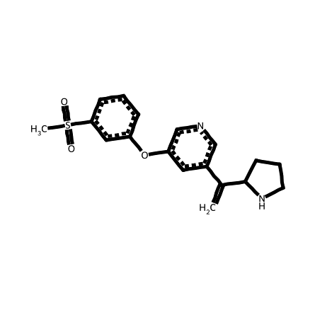 C=C(c1cncc(Oc2cccc(S(C)(=O)=O)c2)c1)C1CCCN1